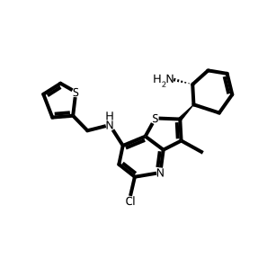 Cc1c([C@@H]2CC=CC[C@H]2N)sc2c(NCc3cccs3)cc(Cl)nc12